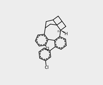 Clc1cccc(-c2cccc3c2-c2c(Cl)cccc2C2CC4CC5C[C@H]3C45C2)c1